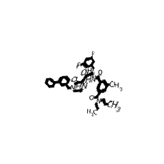 CCCN(CCC)C(=O)c1cc(C)cc(C(=O)N[C@@H](Cc2cc(F)cc(F)c2)C(O)C2NCCN(Cc3cccc(-c4ccccc4)c3)C2=O)c1